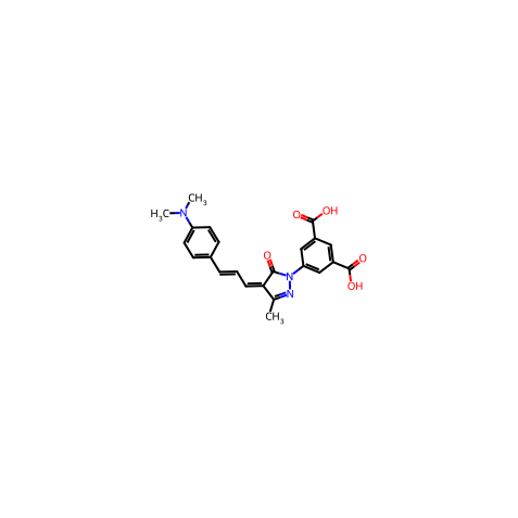 CC1=NN(c2cc(C(=O)O)cc(C(=O)O)c2)C(=O)C1=CC=Cc1ccc(N(C)C)cc1